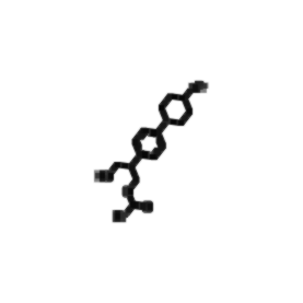 CCCC1CCC(c2ccc(C(CO)COC(=O)C(C)C)cc2)CC1